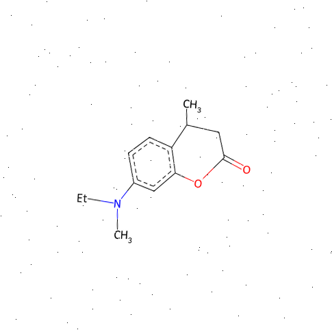 CCN(C)c1ccc2c(c1)OC(=O)CC2C